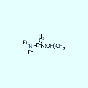 CCN(CC)CC.CN(C)O